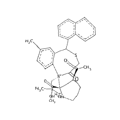 CC(=O)[C@H]1CCN[C@]1(C(=O)O)[N@+]1(CC(C)(C)C)C(=O)CSC(c2cccc3ccccc23)c2cc(C)ccc21